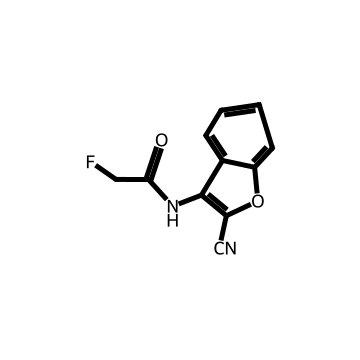 N#Cc1oc2ccccc2c1NC(=O)CF